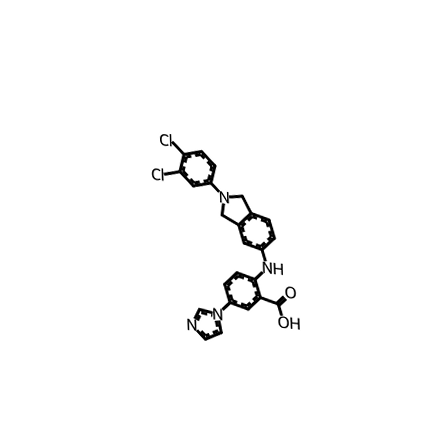 O=C(O)c1cc(-n2ccnc2)ccc1Nc1ccc2c(c1)CN(c1ccc(Cl)c(Cl)c1)C2